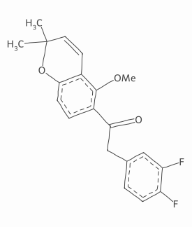 COc1c(C(=O)Cc2ccc(F)c(F)c2)ccc2c1C=CC(C)(C)O2